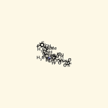 CN[C@H](C(=O)N[C@H](C(=O)N(C)[C@H](/C=C(\C)C(=O)N[C@H](CCC(=O)NCCN1C(=O)C=CC1=O)C(=O)OC(C)(C)C)C(C)C)C(C)(C)C)C(C)(C)c1cccc(F)c1